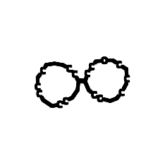 C1CCCCCCCC(=C2CCCCCCCCCCCOCCC2)CCCCCCC1